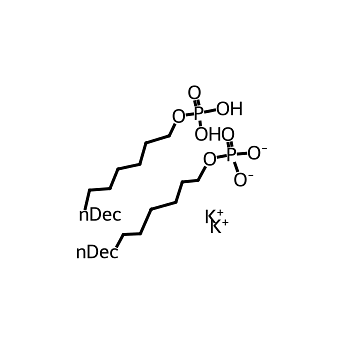 CCCCCCCCCCCCCCCCOP(=O)(O)O.CCCCCCCCCCCCCCCCOP(=O)([O-])[O-].[K+].[K+]